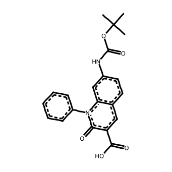 CC(C)(C)OC(=O)Nc1ccc2cc(C(=O)O)c(=O)n(-c3ccccc3)c2c1